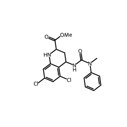 COC(=O)C1CC(NC(=O)N(C)c2ccccc2)c2c(Cl)cc(Cl)cc2N1